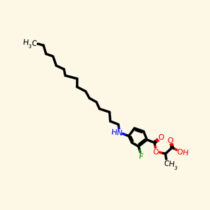 CCCCCCCCCCCCCCCCNc1ccc(C(=O)OC(C)C(=O)O)c(F)c1